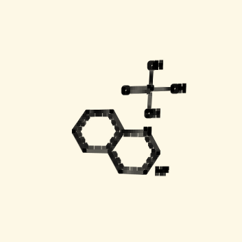 F.O=P(O)(O)O.c1ccc2ncccc2c1